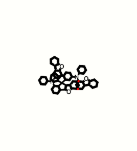 c1ccc(N(c2ccc3oc4ccccc4c3c2)c2cccc3c2C2(c4ccccc4-c4ccc(N(c5ccccc5)c5cccc6c5oc5ccccc56)cc42)c2c-3oc3ccccc23)cc1